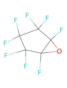 FC1(F)C(F)(F)C2(F)OC2(F)C1(F)F